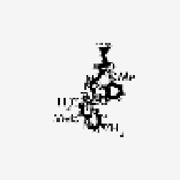 COc1cccc(OC)c1-n1c(NS(=O)(=O)C(C)[C@H](OC)c2ncc(C)cn2)nnc1-c1cc(C2CC2)on1